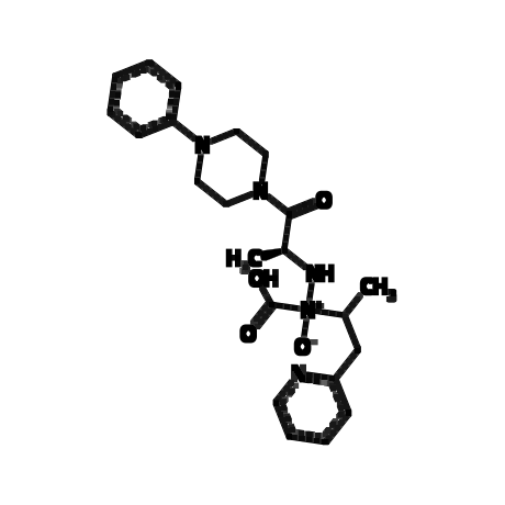 CC(Cc1ccccn1)[N+]([O-])(N[C@@H](C)C(=O)N1CCN(c2ccccc2)CC1)C(=O)O